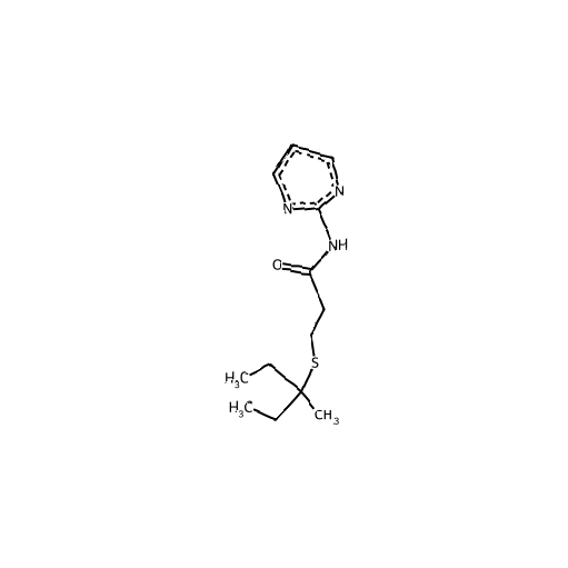 CCC(C)(CC)SCCC(=O)Nc1ncccn1